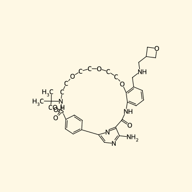 CC(C)(C(=O)O)N1CCOCCOCCOc2c(CNCC3COC3)cccc2NC(=O)c2nc(cnc2N)-c2ccc(cc2)S1(=O)=O